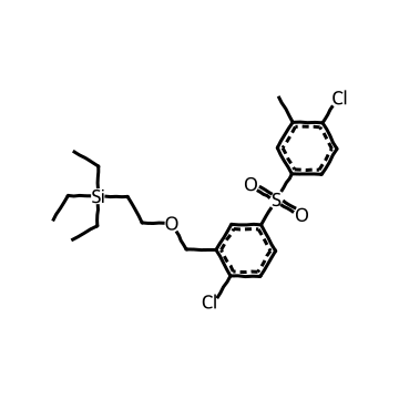 CC[Si](CC)(CC)CCOCc1cc(S(=O)(=O)c2ccc(Cl)c(C)c2)ccc1Cl